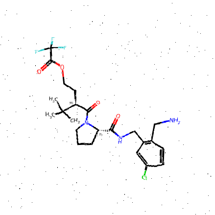 CC(C)(C)[C@@H](CCOC(=O)C(F)(F)F)C(=O)N1CCC[C@H]1C(=O)NCc1cc(Cl)ccc1CN